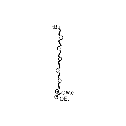 CCOP(=O)(OC)OCCOCCOCCOCCOCCOCCC(C)(C)C